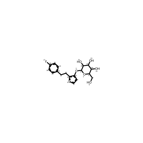 OCC1OC(Oc2ccsc2CCc2ccc(F)cc2)C(O)C(O)C1O